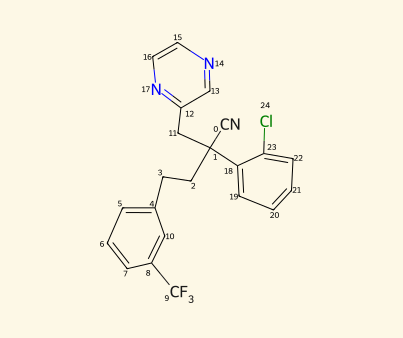 N#CC(CCc1cccc(C(F)(F)F)c1)(Cc1cnccn1)c1ccccc1Cl